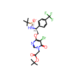 CC(C)(C)OC(=O)Cn1cnc(OC[C@@H](N[S@+]([O-])C(C)(C)C)c2ccc(C(F)(F)F)cc2)c(Br)c1=O